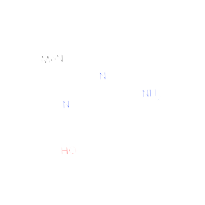 CNc1nc(N)cc(O)n1